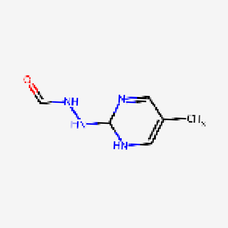 CC1=CNC(NNC=O)N=C1